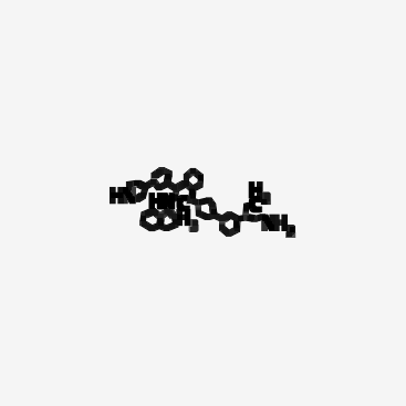 C=C/C(=C\CN)C1=CCCC(C2=CCC(/C(C)=C3\CCCC\C3=C(\CNC3=CCCC4=C3C=CCC4)C3=CC=CC(C4=CCNC=C4)C3)CC2)=C1